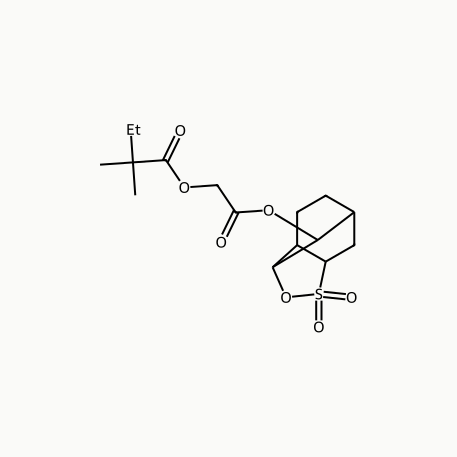 CCC(C)(C)C(=O)OCC(=O)OC1C2CCC3C1OS(=O)(=O)C3C2